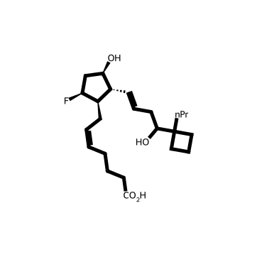 CCCC1(C(O)C/C=C/[C@@H]2[C@@H](C/C=C\CCCC(=O)O)[C@@H](F)C[C@H]2O)CCC1